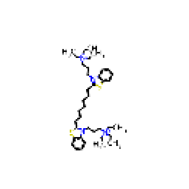 CC[N+](CC)(CC)CCCN1\C(=C/C=C/C=C/C=C/c2sc3ccccc3[n+]2CCC[N+](CC)(CC)CC)Sc2ccccc21